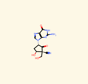 N#C[C@]1(CO)C(=O)[C@@H](n2cnc3c(=O)[nH]c(N)nc32)C[C@@H]1O